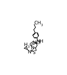 CCCCc1ccc(NC(=O)CC2CSC(=NC3CC3)N2C)cc1.Cl